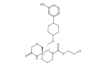 O=C1COC[C@@]2(CCCN(C(=O)OCCCl)[C@H]2COC2CCC(c3cccc(O)c3)CC2)N1